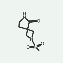 CS(=O)(=O)N1CC2(CCNC2=O)C1